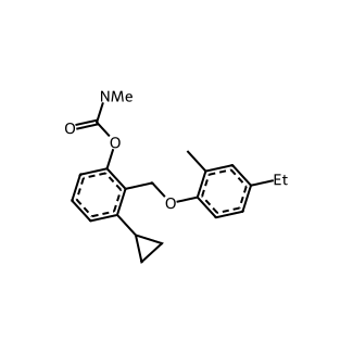 CCc1ccc(OCc2c(OC(=O)NC)cccc2C2CC2)c(C)c1